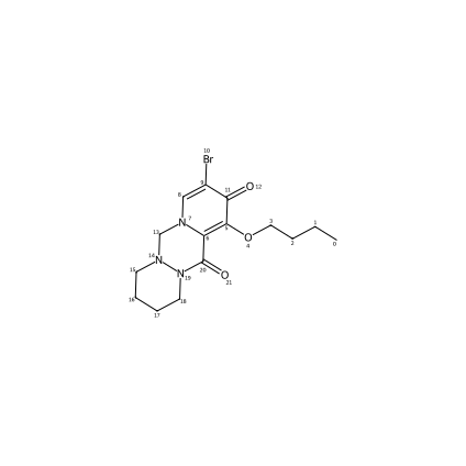 CCCCOc1c2n(cc(Br)c1=O)CN1CCCCN1C2=O